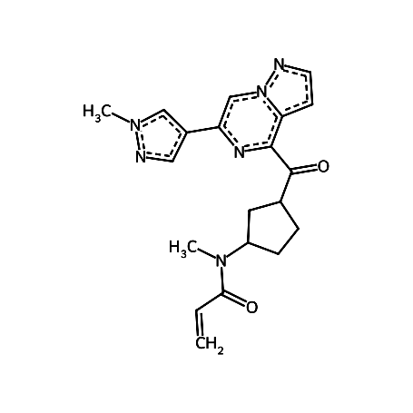 C=CC(=O)N(C)C1CCC(C(=O)c2nc(-c3cnn(C)c3)cn3nccc23)C1